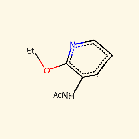 CCOc1ncc[c]c1NC(C)=O